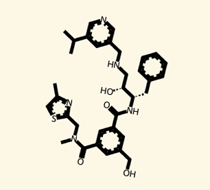 Cc1csc(CN(C)C(=O)c2cc(CO)cc(C(=O)N[C@@H](Cc3ccccc3)[C@H](O)CNCc3cncc(C(C)C)c3)c2)n1